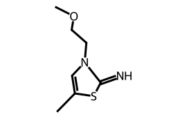 COCCn1cc(C)sc1=N